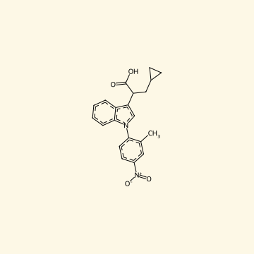 Cc1cc([N+](=O)[O-])ccc1-n1cc(C(CC2CC2)C(=O)O)c2ccccc21